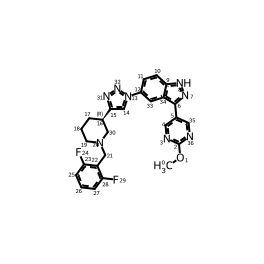 COc1ncc(-c2n[nH]c3ccc(-n4cc([C@@H]5CCCN(Cc6c(F)cccc6F)C5)nn4)cc23)cn1